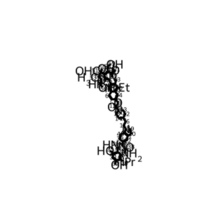 CCc1c2c(nc3ccc(OC(=O)N4CCC(CCn5ccc6cc(N(C(=N)c7cc(C(C)C)c(O)cc7O)C(N)=O)ccc65)CC4)cc13)-c1cc(C(O)(C=O)C(C)OPO)c(CO)c(=O)n1C2